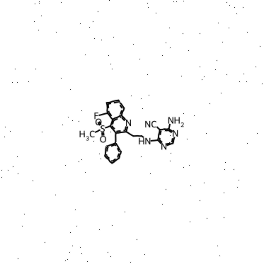 CS(=O)(=O)c1c(-c2ccccc2)c(CCNc2ncnc(N)c2C#N)nc2cccc(F)c12